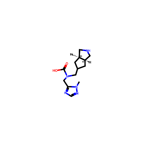 Cn1ncnc1CN(CC1C[C@H]2CNC[C@H]2C1)C(=O)O